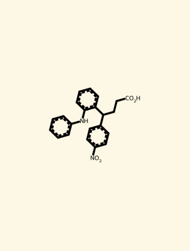 O=C(O)CCC(c1ccc([N+](=O)[O-])cc1)c1ccccc1Nc1ccccc1